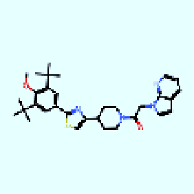 COc1c(C(C)(C)C)cc(-c2nc(C3CCN(C(=O)Cn4ccc5cccnc54)CC3)cs2)cc1C(C)(C)C